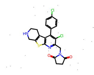 O=C1CCC(=O)N1Cc1nc2sc3c(c2c(-c2ccc(Cl)cc2)c1Cl)CCNC3